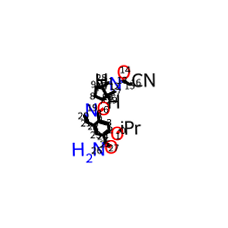 CC(C)Oc1cc2c(OC3CC[C@@H]4CN(C(=O)CC#N)C[C@H]34)nccc2cc1C(N)=O